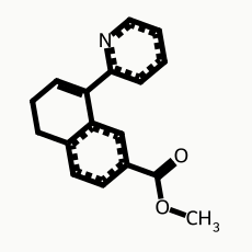 COC(=O)c1ccc2c(c1)C(c1ccccn1)=CCC2